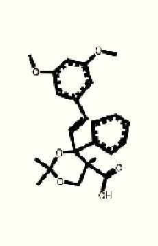 COc1cc(C=CC2(c3ccccc3)OC(C)(C)OCC2(C)C(=O)O)cc(OC)c1